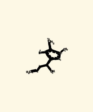 C=CCC(O)c1nn(C)c(C)c1Br